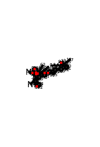 CCCCCCC(CC)C1(C(CC)CCCCC)c2ccccc2-c2ccc(-c3ccc4c(c3)C(C)(C)c3cc(-c5ccc6c(c5)C(CC(CC)CCCC)(C(CC)CCCCC)c5c-6cc6c7c8c(c(C#N)cc7n7c9cc(C#N)c%10c(c9c5c67)C5CC6CC(CC%10C6)C5)C5CC6CC8CC5C6)ccc3-4)cc21